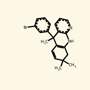 CC1(C)C=CC2=C(C1)Nc1ncccc1C2(C)c1cccc(Br)c1